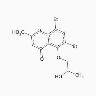 CCc1cc(CC)c2oc(C(=O)O)cc(=O)c2c1OCC(C)O